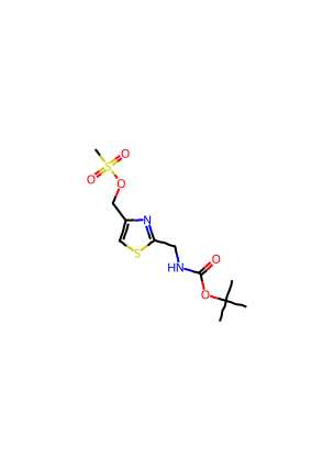 CC(C)(C)OC(=O)NCc1nc(COS(C)(=O)=O)cs1